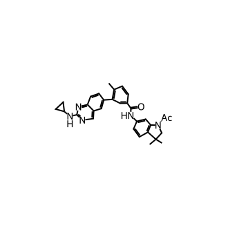 CC(=O)N1CC(C)(C)c2ccc(NC(=O)c3ccc(C)c(-c4ccc5nc(NC6CC6)ncc5c4)c3)cc21